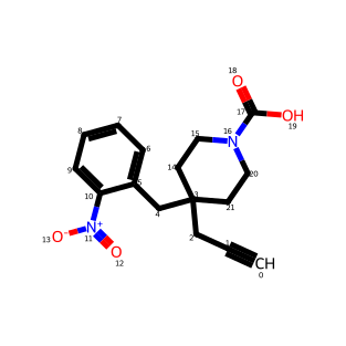 C#CCC1(Cc2ccccc2[N+](=O)[O-])CCN(C(=O)O)CC1